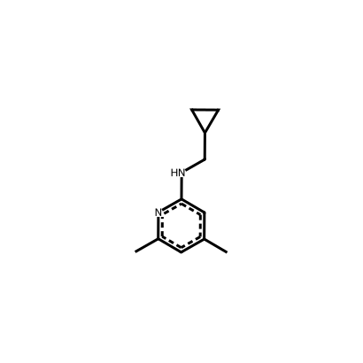 Cc1cc(C)nc(NCC2CC2)c1